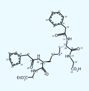 CCOC(=O)CNC(=O)[C@H](CSSC[C@H](NC(=O)Cc1ccccc1)C(=O)NCC(=O)O)NC(=O)Cc1ccccc1